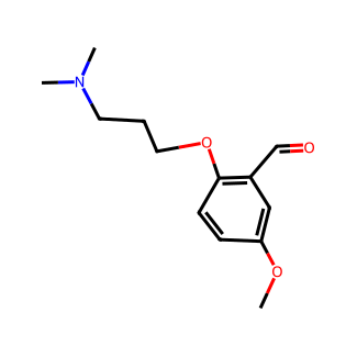 COc1ccc(OCCCN(C)C)c(C=O)c1